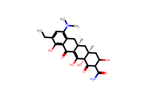 CCc1cc(N(C)C)c2c(c1O)C(=O)C1=C(O)[C@]3(O)C(=O)C(C(N)=O)C(O)C[C@@H]3C[C@@H]1C2